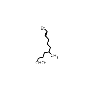 CC/C=C/CCCC(C)CCC[C]=O